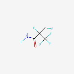 O=C(NF)C(F)(CF)C(F)(F)F